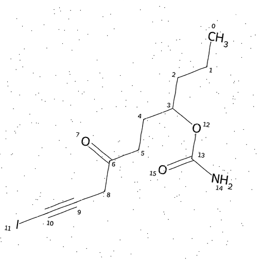 CCCC(CCC(=O)CC#CI)OC(N)=O